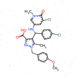 COc1ccc(Cn2nc(C(=O)O)c(C(Nc3cc(Cl)c(=O)n(C)c3)c3ccc(Cl)cc3)c2C)cc1